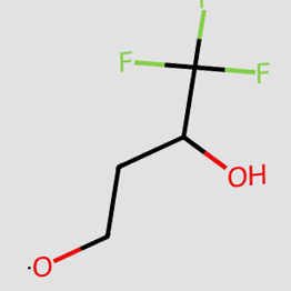 [O]CCC(O)C(F)(F)F